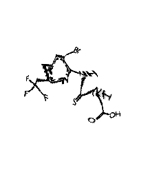 O=C(O)NC(=S)Nc1nc(C(F)(F)F)ccc1Br